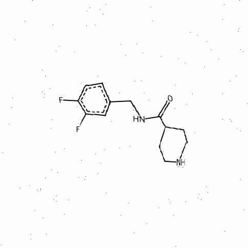 O=C(NCc1ccc(F)c(F)c1)C1CCNCC1